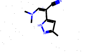 Cc1cc(/C(C#N)=C\N(C)C)[nH]n1